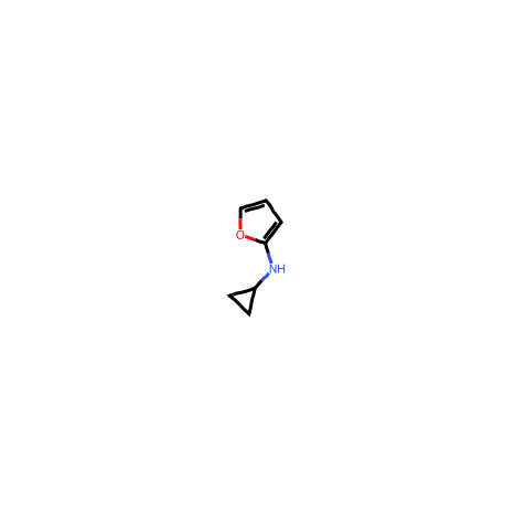 c1coc(NC2CC2)c1